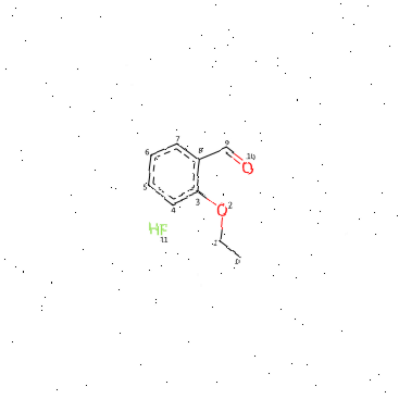 CCOc1ccccc1C=O.F